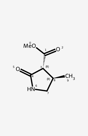 COC(=O)[C@H]1C(=O)NC[C@@H]1C